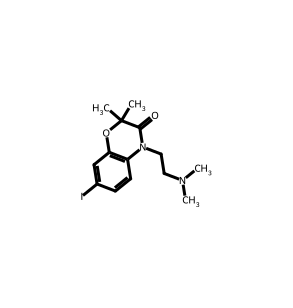 CN(C)CCN1C(=O)C(C)(C)Oc2cc(I)ccc21